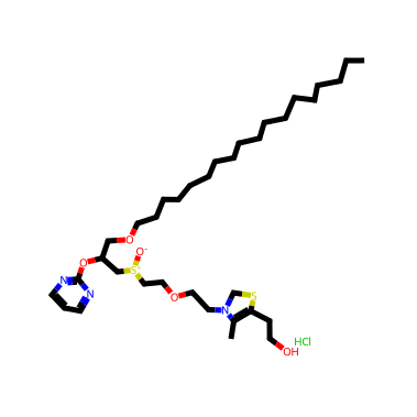 CCCCCCCCCCCCCCCCCCOCC(C[S+]([O-])CCOCCN1CSC(CCO)=C1C)Oc1ncccn1.Cl